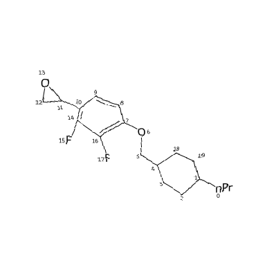 CCCC1CCC(COc2ccc(C3CO3)c(F)c2F)CC1